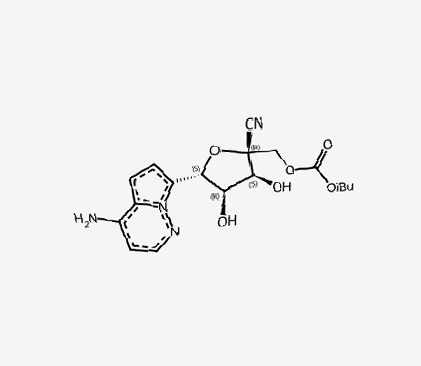 CC(C)COC(=O)OC[C@@]1(C#N)O[C@@H](c2ccc3c(N)ccnn23)[C@H](O)[C@@H]1O